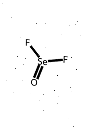 O=[Se](F)F